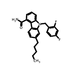 CCCCCc1c[c]c2c3c(C(N)=O)cccc3n(Cc3ccc(F)cc3F)c2c1